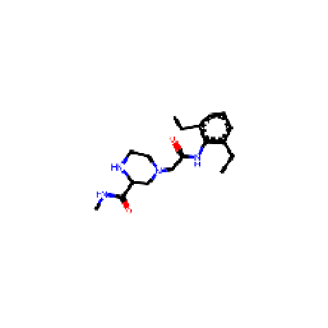 CCc1cccc(CC)c1NC(=O)CN1CCNC(C(=O)NC)C1